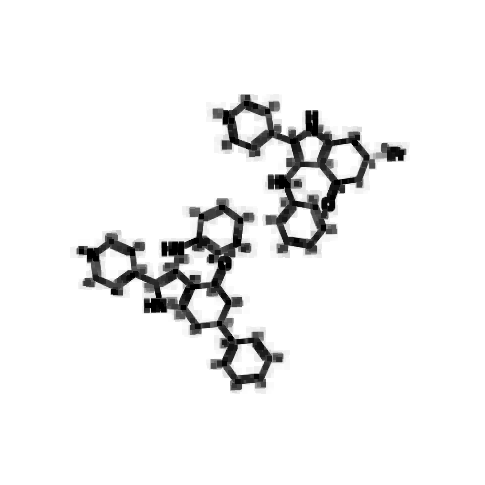 CC(C)[C@@H]1CC(=O)c2c([nH]c(-c3ccncc3)c2Nc2ccccc2)C1.O=C1CC(c2ccccc2)Cc2[nH]c(-c3ccncc3)c(Nc3ccccc3)c21